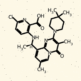 Cc1cc([C@@H](C)Nc2ccc(Cl)nc2C(=O)O)c2nc(N3CCC(C)(C)CC3)c(C)c(=O)n2c1